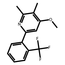 COc1cc(-c2ccccc2C(F)(F)F)nc(C)c1C